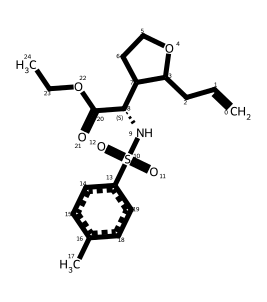 C=CCC1OCCC1[C@H](NS(=O)(=O)c1ccc(C)cc1)C(=O)OCC